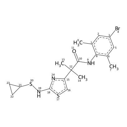 Cc1cc(Br)cc(C)c1NC(=O)C(C)(C)c1csc(NSC2CC2)n1